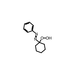 OOC1(N=Nc2ccccc2)CCCCC1